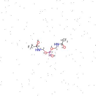 O=C(NCO[PH](=O)OCNC(=O)C(F)(F)F)C(F)(F)F